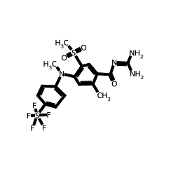 Cc1cc(N(C)c2ccc(S(F)(F)(F)(F)F)cc2)c(S(C)(=O)=O)cc1C(=O)N=C(N)N